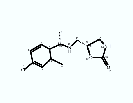 CC1C=C(Cl)C=CC1[C@H](C)NC[C@@H]1CNC(=O)O1